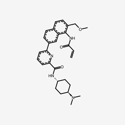 C=CC(=O)Nc1c(COC)ccc2ccc(-c3cccc(C(=O)N[C@H]4CC[C@H](N(C)C)CC4)n3)cc12